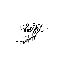 C=C(C)C(=O)OCC(CC(F)(F)C(F)(F)C(F)(F)C(F)(F)C(F)(F)C(F)(F)C(F)(F)C(F)(F)F)OC(=O)C(C)(CO)COC(=O)C(=C)C